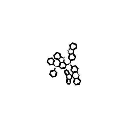 c1ccc(N(c2ccccc2)c2ccc(N(c3ccc4c(c3)C3(c5ccccc5O4)c4ccccc4-c4ccccc43)c3ccc4c(c3)oc3ccccc34)c3oc4ccccc4c23)cc1